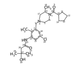 Cc1c(CN2CCN(C(=O)C3CCCC3)C(C)C2)cc(Cl)cc1NC(=O)CC(C)(C)O